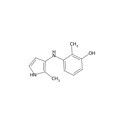 Cc1[nH]ccc1Nc1cccc(O)c1C